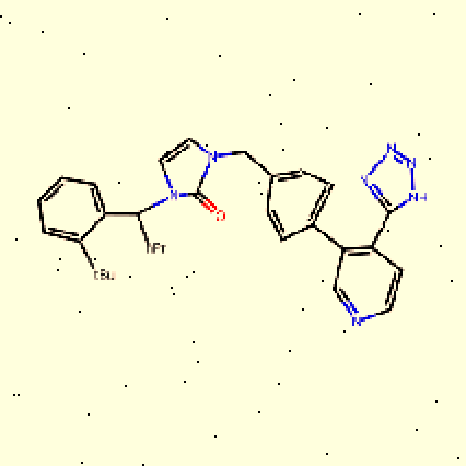 CCCC(c1ccccc1C(C)(C)C)n1ccn(Cc2ccc(-c3cnccc3-c3nnn[nH]3)cc2)c1=O